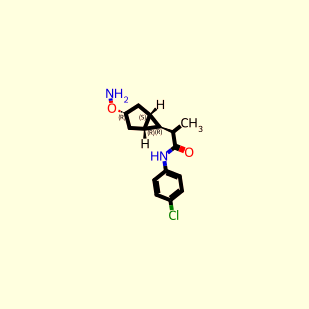 CC(C(=O)Nc1ccc(Cl)cc1)[C@H]1[C@@H]2C[C@H](ON)C[C@@H]21